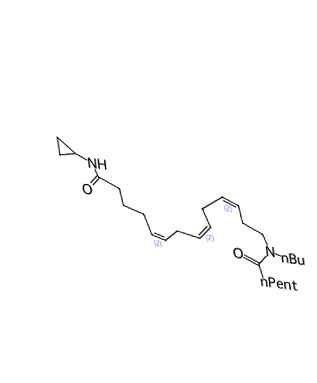 CCCCCC(=O)N(CC/C=C\C/C=C\C/C=C\CCCC(=O)NC1CC1)CCCC